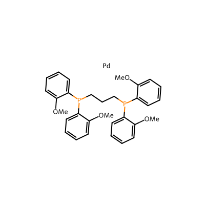 COc1ccccc1P(CCCP(c1ccccc1OC)c1ccccc1OC)c1ccccc1OC.[Pd]